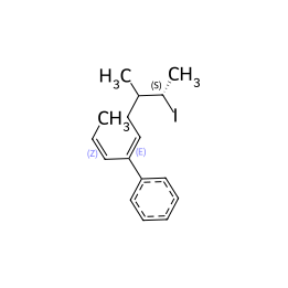 C/C=C\C(=C/CC(C)[C@H](C)I)c1ccccc1